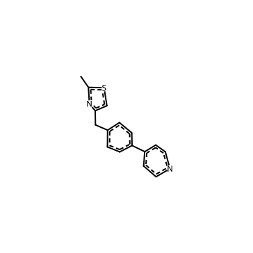 Cc1nc(Cc2ccc(-c3ccncc3)cc2)cs1